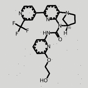 O=C(Nc1cccc(OCCO)n1)N1c2nc(-c3ccnc(C(F)(F)F)c3)ccc2N2CC[C@H]1C2